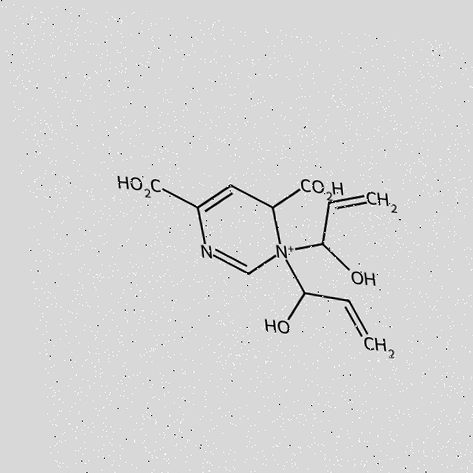 C=CC(O)[N+]1(C(O)C=C)C=NC(C(=O)O)=CC1C(=O)O